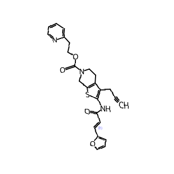 C#CCc1c(NC(=O)/C=C/c2ccco2)sc2c1CCN(C(=O)OCCc1ccccn1)C2